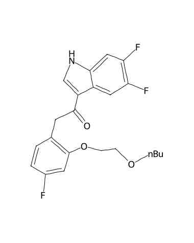 CCCCOCCOc1cc(F)ccc1CC(=O)c1c[nH]c2cc(F)c(F)cc12